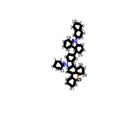 c1ccc(-n2c3ccc(-c4cccc5c4c4ccccc4n5-c4ccc5ccccc5c4)cc3c3c4cccc5c4c(cc32)-c2ccccc2S5)cc1